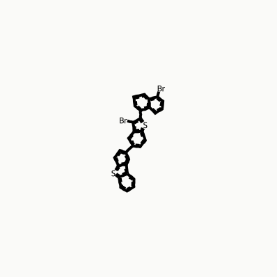 Brc1c(-c2cccc3c(Br)cccc23)sc2ccc(-c3ccc4sc5ccccc5c4c3)cc12